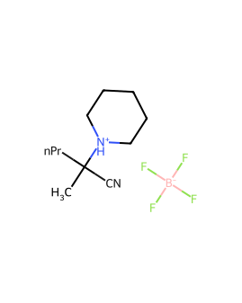 CCCC(C)(C#N)[NH+]1CCCCC1.F[B-](F)(F)F